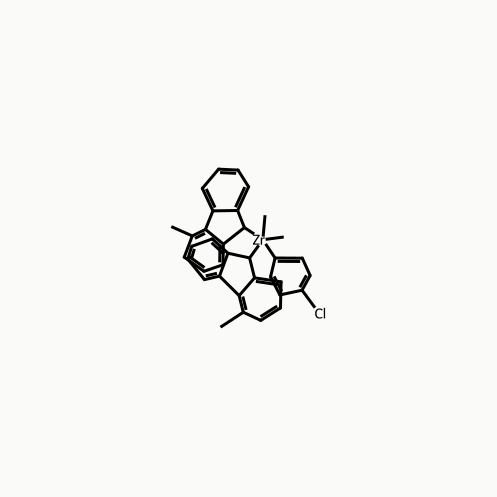 Cc1cccc2c1-c1ccccc1[CH]2[Zr]([CH3])([CH3])([c]1ccc(Cl)cc1)[CH]1c2ccccc2-c2c(C)cccc21